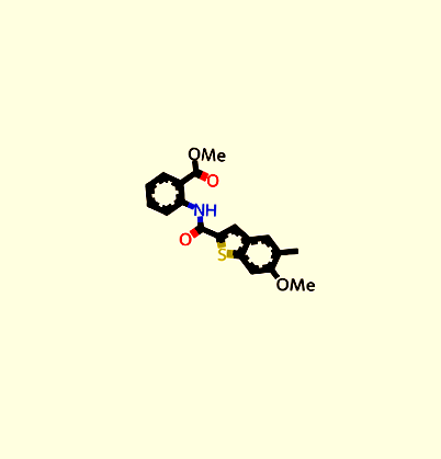 COC(=O)c1ccccc1NC(=O)c1cc2cc(C)c(OC)cc2s1